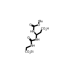 CCOC(=O)CNC(=O)NC(CC(=O)O)NC(=O)OC(C)(C)C